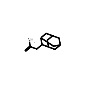 C=C(N)CC1C2CC3CC(C2)CC1C3